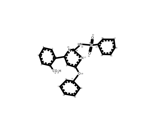 O=C(O)c1ccccc1-c1cc(Oc2ccccc2)nc(NS(=O)(=O)c2ccccc2)n1